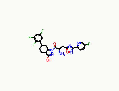 NC(Cc1nc(-c2ccc(F)cn2)no1)C(=O)n1nc(O)c2c1CC(c1cc(F)cc(F)c1F)CC2